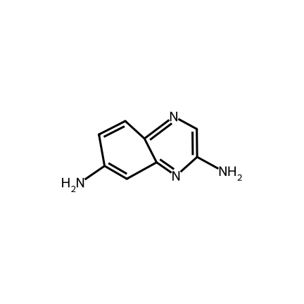 Nc1ccc2ncc(N)nc2c1